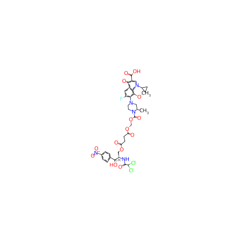 COc1c(N2CCN(C(=O)OCOC(=O)CCC(=O)OC[C@@H](NC(=O)C(Cl)Cl)[C@H](O)c3ccc([N+](=O)[O-])cc3)C(C)C2)c(F)cc2c(=O)c(C(=O)O)cn(C3CC3)c12